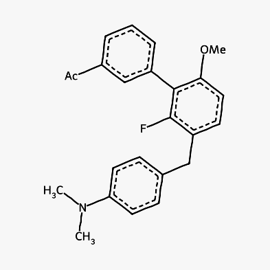 COc1ccc(Cc2ccc(N(C)C)cc2)c(F)c1-c1cccc(C(C)=O)c1